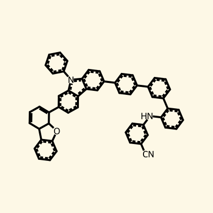 N#Cc1cccc(Nc2ccccc2-c2cccc(-c3ccc(-c4ccc5c(c4)c4ccc(C6=CC=CC7c8ccccc8OC67)cc4n5-c4ccccc4)cc3)c2)c1